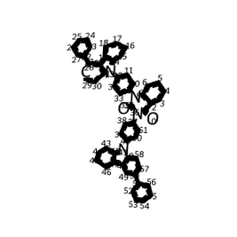 O=c1c2ccccc2n(-c2ccc(-n3c4ccccc4c4c(-c5ccccc5)cccc43)cc2)c(=O)n1-c1ccc(-n2c3ccccc3c3cc(-c4ccccc4)ccc32)cc1